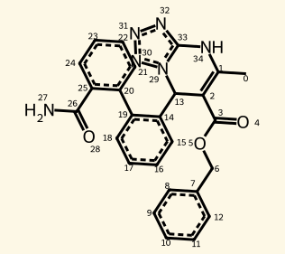 CC1=C(C(=O)OCc2ccccc2)C(c2ccccc2-c2ccccc2C(N)=O)n2nnnc2N1